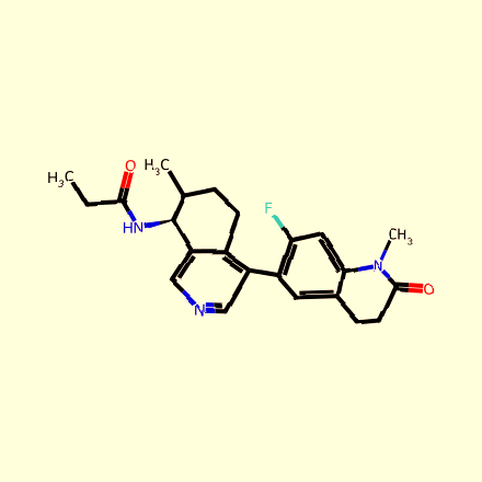 CCC(=O)N[C@@H]1c2cncc(-c3cc4c(cc3F)N(C)C(=O)CC4)c2CCC1C